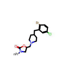 CCCN1CC(CN2CCC(Cc3cc(Cl)ccc3Br)CC2)OC1=O